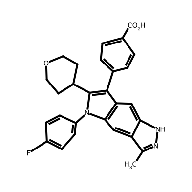 Cc1n[nH]c2cc3c(-c4ccc(C(=O)O)cc4)c(C4CCOCC4)n(-c4ccc(F)cc4)c3cc12